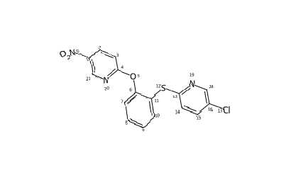 O=[N+]([O-])c1ccc(Oc2ccccc2Sc2ccc(Cl)cn2)nc1